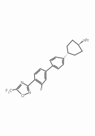 CCC[C@H]1CC[C@H](c2ccc(-c3ccc(-c4noc(C(F)(F)F)n4)c(F)c3)cc2)CC1